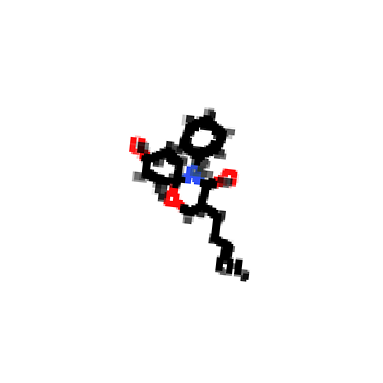 C=CCCC1COC2(C=CC(=O)C=C2)N(c2ccccc2)C1=O